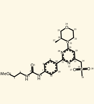 COCCNC(=O)Nc1ccc(-c2nc(CS(C)(=O)=O)cc(N3CCOC[C@@H]3C)n2)cc1